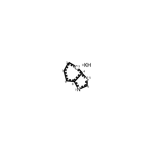 [KH].c1ccc2scnc2c1